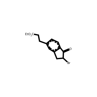 CCOC(=O)CCc1ccc2c(c1)CC(Br)C2=O